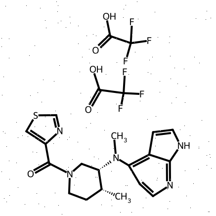 C[C@@H]1CCN(C(=O)c2cscn2)C[C@@H]1N(C)c1ccnc2[nH]ccc12.O=C(O)C(F)(F)F.O=C(O)C(F)(F)F